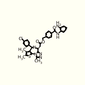 Cc1sc2c(c1C)C(c1ccc(Cl)cc1)=N[C@@H](CC(=O)OCc1ccc(C(=O)Nc3ccccc3N)cc1)c1nnc(C)n1-2